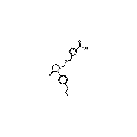 CCCc1ccc(N2C(=O)CC[C@@H]2COCc2ccc(C(=O)O)s2)cc1